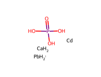 O=P(O)(O)O.[CaH2].[Cd].[PbH2]